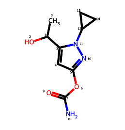 CC(O)c1cc(OC(N)=O)nn1C1CC1